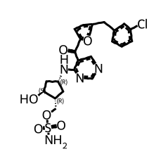 NS(=O)(=O)OC[C@H]1C[C@@H](Nc2ncncc2C(=O)c2ccc(Cc3cccc(Cl)c3)o2)C[C@@H]1O